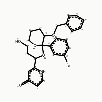 O=c1cc[nH]c(C(CCO)OC2(c3cccc(F)c3)OCCCC2OCc2ccccc2)c1